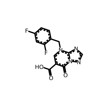 O=C(O)c1cn(Cc2ccc(F)cc2F)c2ncnn2c1=O